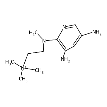 CN(CC[N+](C)(C)C)c1ncc(N)cc1N